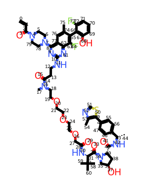 C=CC(=O)N1CCN(c2nc(NCCC(=O)N(C)CCOCCOCCOCC(=O)N[C@H](C(=O)N3C[C@H](O)C[C@H]3C(=O)N[C@@H](C)c3ccc(-c4scnc4C)cc3)C(C)(C)C)nc3c(F)c(-c4c(O)cccc4F)c(C)cc23)CC1